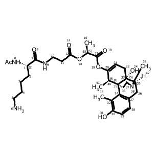 CC(=O)N[C@@H](CCCCN)C(=O)NCCC(=O)O[C@@H](C)C(=O)OC1=CC[C@@]2(O)[C@H]3Cc4ccc(O)c(C)c4[C@@]2(CCN3C)[C@H]1C